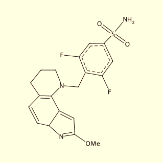 COC1=NC2C=CC3=C(C2=C1)N(Cc1c(F)cc(S(N)(=O)=O)cc1F)CCC3